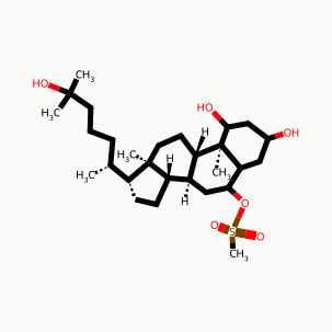 C[C@H](CCCC(C)(C)O)[C@H]1CC[C@H]2[C@@H]3CC(OS(C)(=O)=O)C4CC(O)CC(O)[C@]4(C)[C@H]3CC[C@]12C